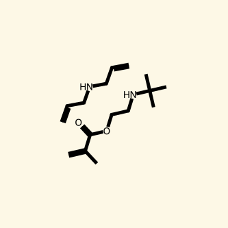 C=C(C)C(=O)OCCNC(C)(C)C.C=CCNCC=C